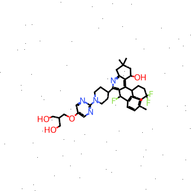 Cc1ccc(C(F)c2c(C3CCN(c4ncc(OCC(CO)CO)cn4)CC3)nc3c(c2C2CCC(F)(F)CC2)C(O)CC(C)(C)C3)cc1